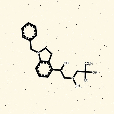 CCC(O)(CN(C)CC(O)c1cccc2c1CCN2Cc1ccccc1)C(=O)O